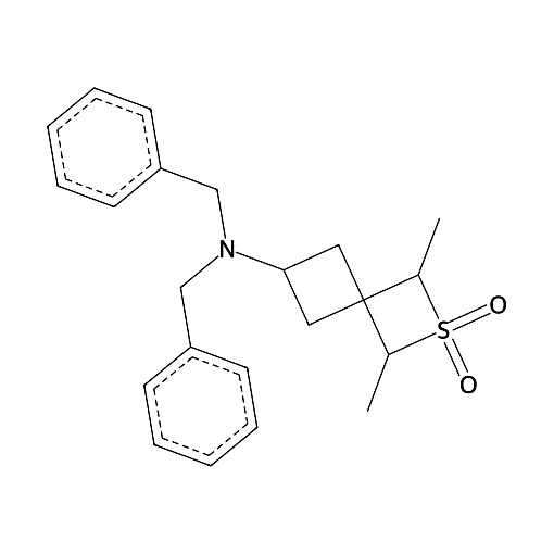 CC1C2(CC(N(Cc3ccccc3)Cc3ccccc3)C2)C(C)S1(=O)=O